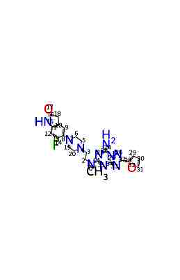 CN(CCN1CCN(c2cc3c(cc2F)NC(=O)C3)CC1)c1nc(N)n2nc(-c3ccco3)nc2n1